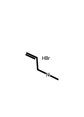 Br.C=C[CH2][Ni][CH3]